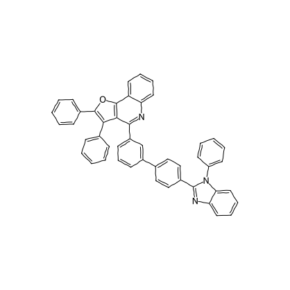 c1ccc(-c2oc3c(c(-c4cccc(-c5ccc(-c6nc7ccccc7n6-c6ccccc6)cc5)c4)nc4ccccc43)c2-c2ccccc2)cc1